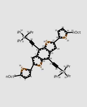 CCCCCCCCc1ccc(-c2cc3c(C#C[Si](C(C)C)(C(C)C)C(C)C)c4sc(-c5ccc(CCCCCCCC)s5)cc4c(C#C[Si](C(C)C)(C(C)C)C(C)C)c3s2)s1